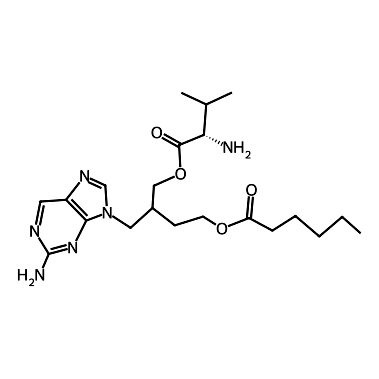 CCCCCC(=O)OCCC(COC(=O)[C@@H](N)C(C)C)Cn1cnc2cnc(N)nc21